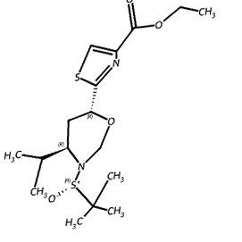 CCOC(=O)c1csc([C@H]2C[C@H](C(C)C)N([S@@+]([O-])C(C)(C)C)CO2)n1